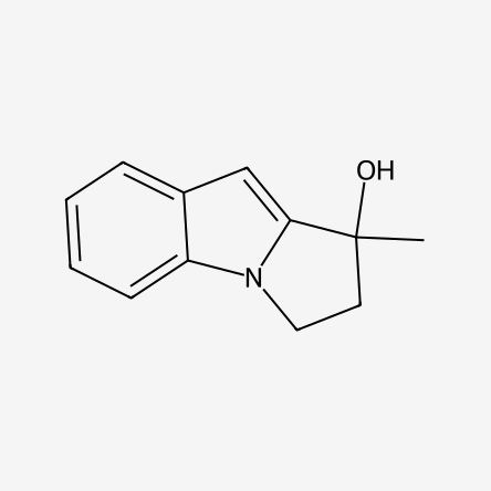 CC1(O)CCn2c1cc1ccccc12